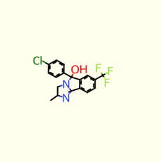 CC1CN2C(=N1)c1ccc(C(F)(F)F)cc1C2(O)c1ccc(Cl)cc1